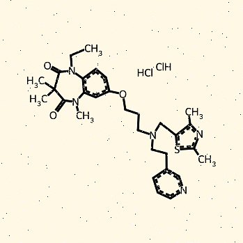 CCN1C(=O)C(C)(C)C(=O)N(C)c2cc(OCCCN(CCc3cccnc3)Cc3sc(C)nc3C)ccc21.Cl.Cl